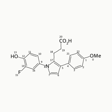 COc1ccc(-c2ccn(-c3ccc(O)c(F)c3)c2CCC(=O)O)cc1